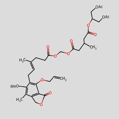 C=CCOc1c(C/C=C(\C)CCC(=O)OCOC(=O)CC(C)CC(=O)OC(COC(C)=O)COC(C)=O)c(OC)c(C)c2c1C(=O)OC2